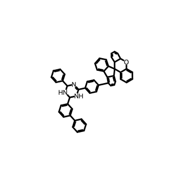 C1=CC2Oc3ccccc3C3(c4ccccc4-c4c(-c5ccc(C6=NC(c7ccccc7)NC(c7cccc(-c8ccccc8)c7)N6)cc5)cccc43)C2C=C1